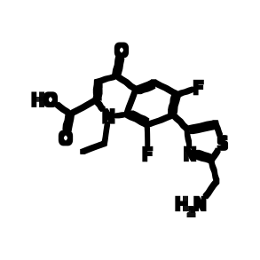 CCn1c(C(=O)O)cc(=O)c2cc(F)c(-c3csc(CN)n3)c(F)c21